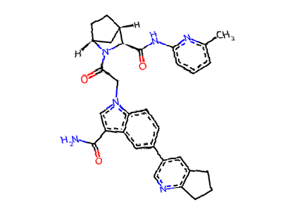 Cc1cccc(NC(=O)[C@@H]2[C@H]3CC[C@H](C3)N2C(=O)Cn2cc(C(N)=O)c3cc(-c4cnc5c(c4)CCC5)ccc32)n1